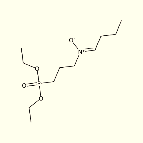 CCCC=[N+]([O-])CCCP(=O)(OCC)OCC